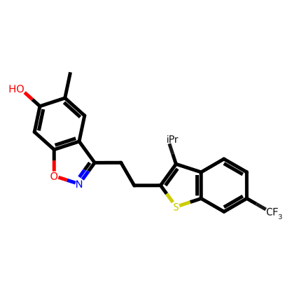 Cc1cc2c(CCc3sc4cc(C(F)(F)F)ccc4c3C(C)C)noc2cc1O